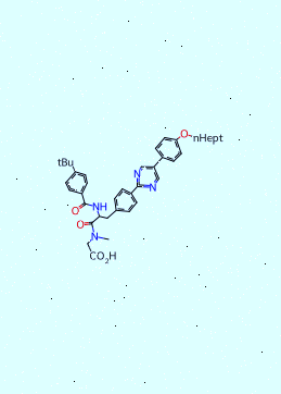 CCCCCCCOc1ccc(-c2cnc(-c3ccc(CC(NC(=O)c4ccc(C(C)(C)C)cc4)C(=O)N(C)CC(=O)O)cc3)nc2)cc1